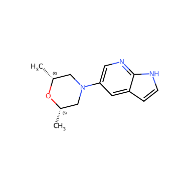 C[C@@H]1CN(c2cnc3[nH]ccc3c2)C[C@H](C)O1